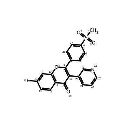 CS(=O)(=O)c1ccc(-c2oc3cc(F)ccc3c(=O)c2-c2cccnc2)cc1